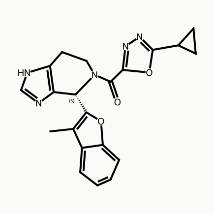 Cc1c([C@@H]2c3nc[nH]c3CCN2C(=O)c2nnc(C3CC3)o2)oc2ccccc12